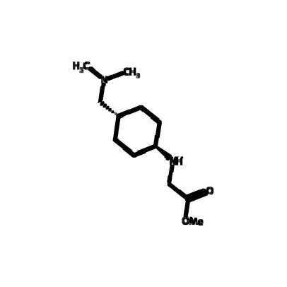 COC(=O)CN[C@H]1CC[C@H](CN(C)C)CC1